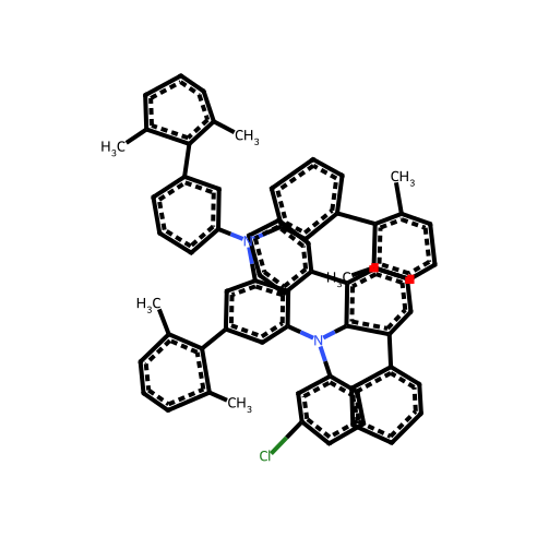 Cc1cccc(C)c1-c1cccc(N(c2cccc(-c3c(C)cccc3C)c2)c2cc(-c3c(C)cccc3C)cc(N(c3cccc(Cl)c3)c3c(-c4ccccc4)cccc3-c3ccccc3)c2)c1